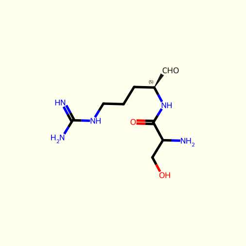 N=C(N)NCCC[C@@H](C=O)NC(=O)C(N)CO